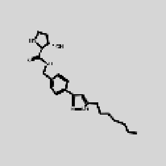 CCCCCCCc1cc(-c2ccc(CNC(=O)[C@H]3NCC[C@@H]3O)cc2)n[nH]1